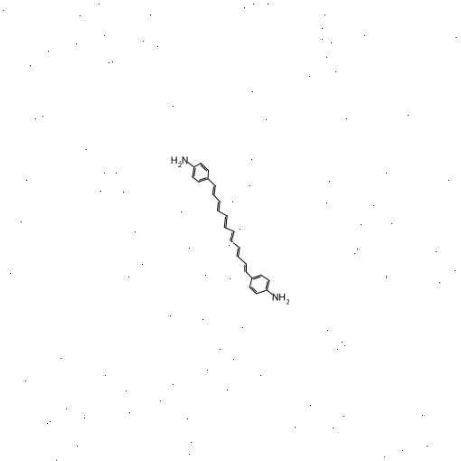 Nc1ccc(/C=C/C=C/C=C/C=C/C=C/C=C/c2ccc(N)cc2)cc1